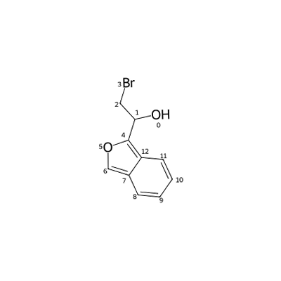 OC(CBr)c1occ2ccccc12